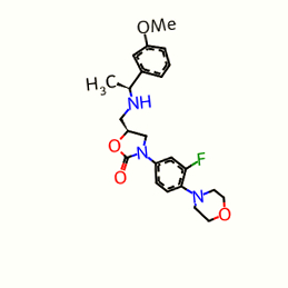 COc1cccc([C@H](C)NC[C@H]2CN(c3ccc(N4CCOCC4)c(F)c3)C(=O)O2)c1